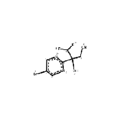 N#CCC(O)(c1ncc(Br)cn1)C(F)F